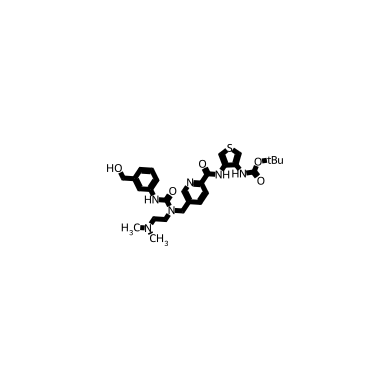 CN(C)CCN(Cc1ccc(C(=O)Nc2cscc2NC(=O)OC(C)(C)C)nc1)C(=O)Nc1cccc(CO)c1